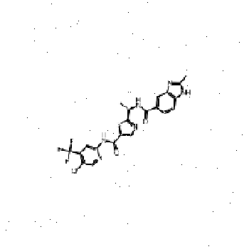 Cc1nc2cc(C(=O)N[C@H](C)c3ncc(C(=O)Nc4cc(C(F)(F)F)c(Cl)cn4)s3)ccc2[nH]1